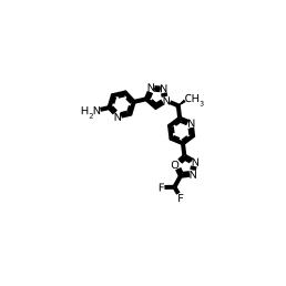 C[C@@H](c1ccc(-c2nnc(C(F)F)o2)cn1)n1cc(-c2ccc(N)nc2)nn1